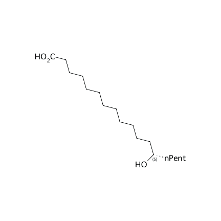 CCCCC[C@H](O)CCCCCCCCCCCC(=O)O